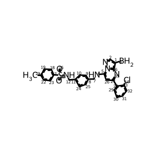 Bc1cnn2c(NCc3ccc(CNS(=O)(=O)c4ccc(C)cc4)cc3)cc(-c3ccccc3Cl)nc12